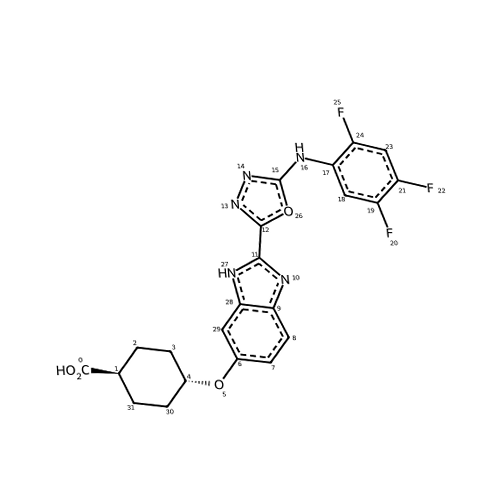 O=C(O)[C@H]1CC[C@H](Oc2ccc3nc(-c4nnc(Nc5cc(F)c(F)cc5F)o4)[nH]c3c2)CC1